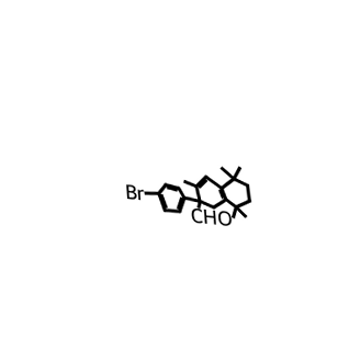 CC1=CC2=C(CC1(C=O)c1ccc(Br)cc1)C(C)(C)CCC2(C)C